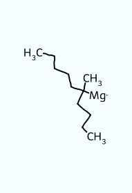 CCCCC[C](C)([Mg])CCCC